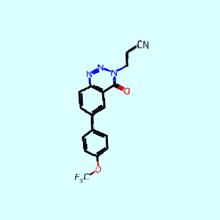 N#CCCn1nnc2ccc(-c3ccc(OC(F)(F)F)cc3)cc2c1=O